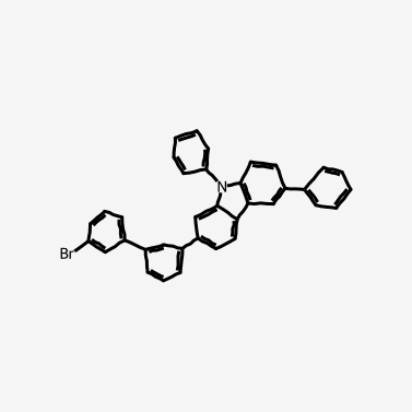 Brc1cccc(-c2cccc(-c3ccc4c5cc(-c6ccccc6)ccc5n(-c5ccccc5)c4c3)c2)c1